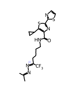 CC(C)=N/N=C(/CCCCNC(=O)c1nc(-c2nccs2)sc1C1CC1)C(F)(F)F